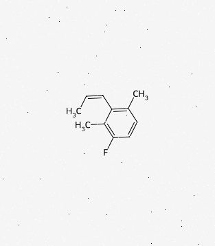 C/C=C\c1c(C)ccc(F)c1C